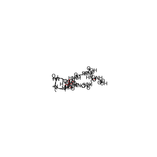 CC[C@H]1c2cc3[nH]c4c(c3C)C(=O)C(C(=O)OC)c4c3nc(cc4[nH]c(cc(n2)[C@@H]1C)c(C(C)=O)c4C)C[C@@H]3CCC(=O)NNC(=O)OCCSSC[C@H](NC(=O)[C@H](CC(=O)NCCS(=O)(=O)O)NC(=O)CC[C@@H](C)NC(=O)c1ccc(NCc2cnc3nc(N)[nH]c(=O)c3n2)cc1)C(=O)O